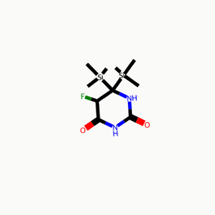 C[Si](C)(C)C1([Si](C)(C)C)NC(=O)NC(=O)C1F